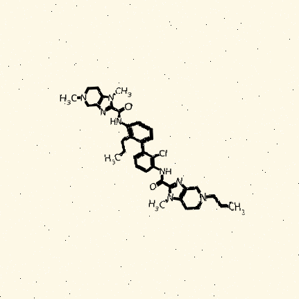 CCCc1c(NC(=O)c2nc3c(n2C)CCN(C)C3)cccc1-c1cccc(NC(=O)c2nc3c(n2C)CCN(CCC)C3)c1Cl